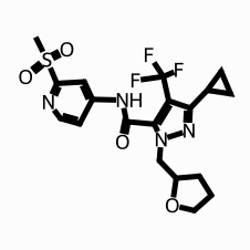 CS(=O)(=O)c1cc(NC(=O)c2c(C(F)(F)F)c(C3CC3)nn2CC2CCCO2)ccn1